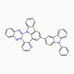 c1ccc(-n2c3ccccc3c3cc(-c4cc5c6c(c4)c4ccccc4n6-c4nc6ccccc6nc4-c4cccnc4-5)ccc32)cc1